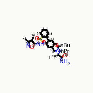 CCCCC(=O)[N+](CCC)(Cc1ccc(-c2ccccc2S(=O)(=O)Nc2onc(C)c2C)cc1)[C@H](C(N)=O)C(C)C